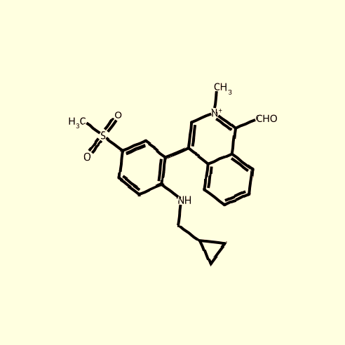 C[n+]1cc(-c2cc(S(C)(=O)=O)ccc2NCC2CC2)c2ccccc2c1C=O